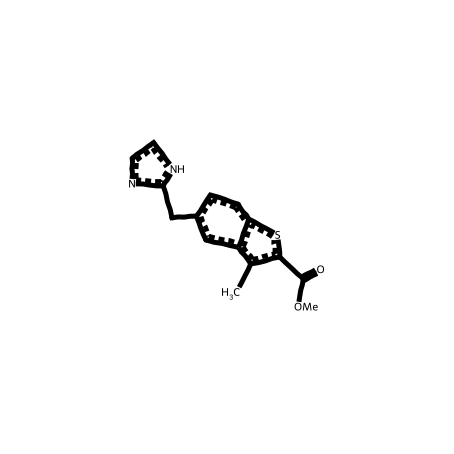 COC(=O)c1sc2ccc(Cc3ncc[nH]3)cc2c1C